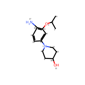 CC(C)Oc1cc(N2CCC(O)CC2)ccc1N